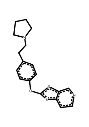 c1cc2sc(Oc3ccc(CCN4CCCC4)cc3)nc2cn1